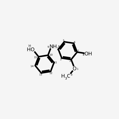 COc1ccccc1O.Nc1ccccc1O